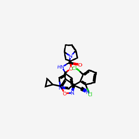 N#Cc1cncc(NC(=O)N2C3CCC2CC(OCc2c(-c4c(Cl)cccc4Cl)noc2C2CC2)C3)c1